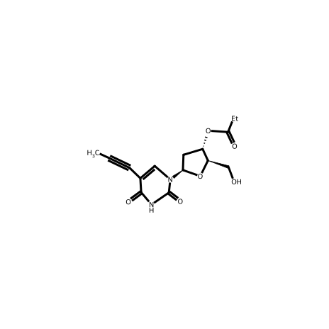 CC#Cc1cn([C@H]2C[C@H](OC(=O)CC)[C@@H](CO)O2)c(=O)[nH]c1=O